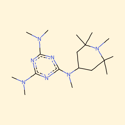 CN(C)c1nc(N(C)C)nc(N(C)C2CC(C)(C)N(C)C(C)(C)C2)n1